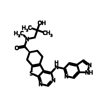 CN(CC(C)(C)O)C(=O)[C@H]1CCc2c(sc3ncnc(Nc4cc5cn[nH]c5cn4)c23)C1